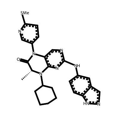 CSc1ccc(N2C(=O)[C@@H](C)N(C3CCCCC3)c3nc(Nc4ccc5[nH]ncc5c4)ncc32)cn1